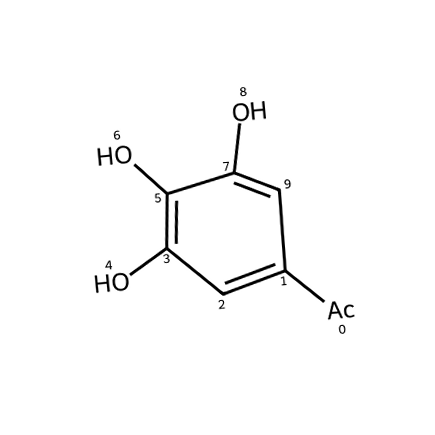 [CH2]C(=O)c1cc(O)c(O)c(O)c1